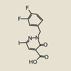 O=C(O)c1cc(I)nn(Cc2ccc(F)c(F)c2)c1=O